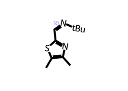 Cc1nc(/C=N\C(C)(C)C)sc1C